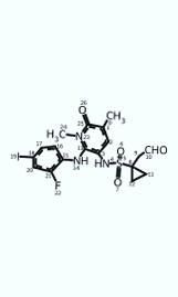 Cc1cc(NS(=O)(=O)C2(CC=O)CC2)c(Nc2ccc(I)cc2F)n(C)c1=O